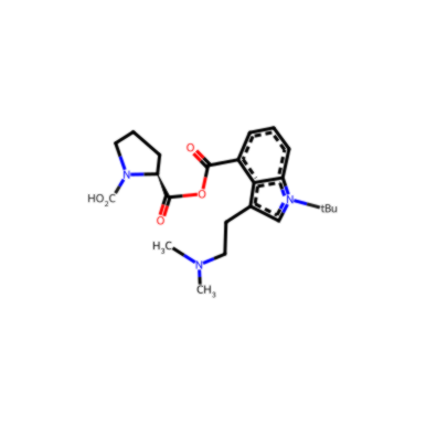 CN(C)CCc1cn(C(C)(C)C)c2cccc(C(=O)OC(=O)[C@@H]3CCCN3C(=O)O)c12